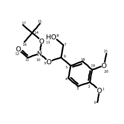 COc1ccc(C(CO)ON(C=O)OC(C)(C)C)cc1OC